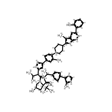 Cc1cc(-c2cc(C(C(=O)N3C[C@H](O)C[C@@]3(C(=O)N[C@@H](C)c3ccc(-c4scnc4C)cc3)C(C)(C)C)C(C)C)on2)ccc1N1CCC(c2sc3nnc(-c4ccccc4O)cc3c2C)CC1